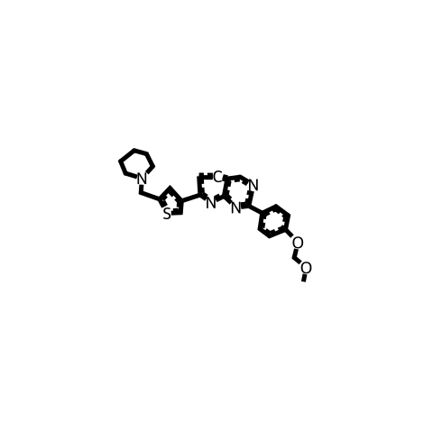 COCOc1ccc(-c2ncc3ccc(-c4csc(CN5CCCCC5)c4)nc3n2)cc1